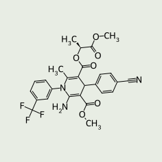 COC(=O)C1=C(N)N(c2cccc(C(F)(F)F)c2)C(C)=C(C(=O)O[C@@H](C)C(=O)OC)C1c1ccc(C#N)cc1